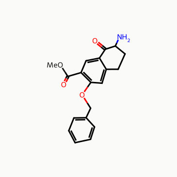 COC(=O)c1cc2c(cc1OCc1ccccc1)CCC(N)C2=O